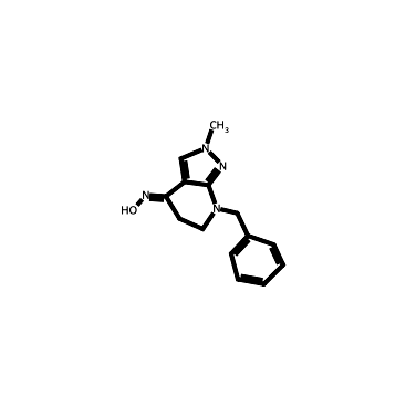 Cn1cc2c(n1)N(Cc1ccccc1)CCC2=NO